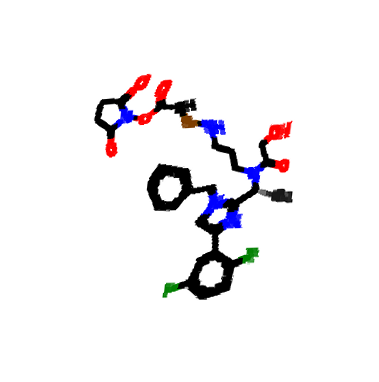 CC(C)(C)[C@H](c1nc(-c2cc(F)ccc2F)cn1Cc1ccccc1)N(CCCNSBC(=O)ON1C(=O)CCC1=O)C(=O)CO